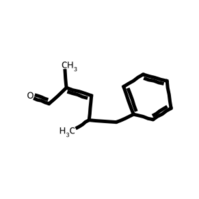 CC(C=O)=CC(C)Cc1ccccc1